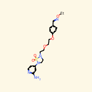 CCO/N=C/c1ccc(OCCOCCN2CCN(c3ccnc(N)c3)S2(=O)=O)cc1